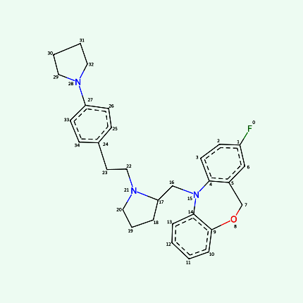 Fc1ccc2c(c1)COc1ccccc1N2CC1CCCN1CCc1ccc(N2CCCC2)cc1